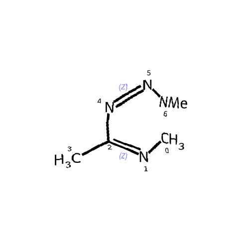 C/N=C(C)\N=N/NC